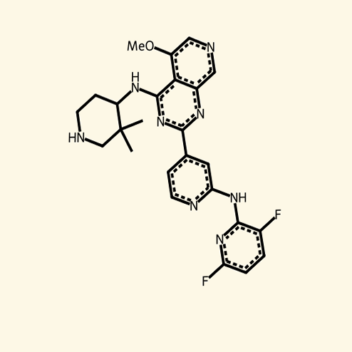 COc1cncc2nc(-c3ccnc(Nc4nc(F)ccc4F)c3)nc(NC3CCNCC3(C)C)c12